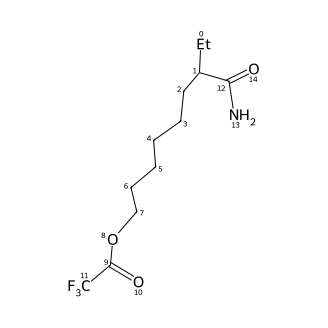 CCC(CCCCCCOC(=O)C(F)(F)F)C(N)=O